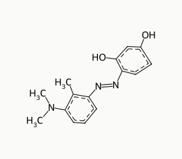 Cc1c(N=Nc2ccc(O)cc2O)cccc1N(C)C